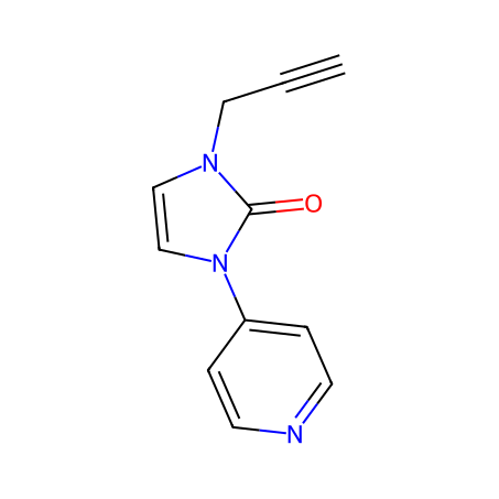 C#CCn1ccn(-c2ccncc2)c1=O